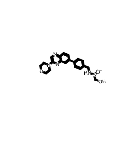 [O-][S+](CO)NCc1ccc(-c2ccc3ncc(N4CCOCC4)nc3c2)cc1